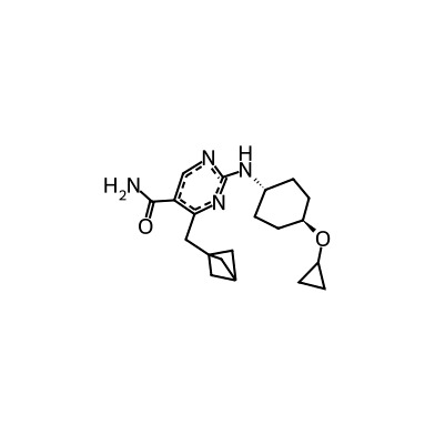 NC(=O)c1cnc(N[C@H]2CC[C@H](OC3CC3)CC2)nc1CC12CC(C1)C2